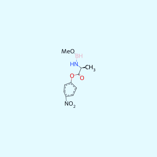 COBN[C@@H](C)C(=O)Oc1ccc([N+](=O)[O-])cc1